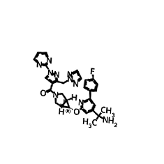 CC(C)(N)c1cc(O[C@@H]2[C@@H]3CN(C(=O)c4cn(-c5ncccn5)nc4Cn4nccn4)C[C@@H]32)nc(-c2ccc(F)cc2)c1